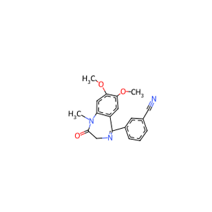 COc1cc2c(cc1OC)N(C)C(=O)CN=C2c1cccc(C#N)c1